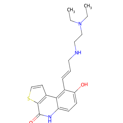 CCN(CC)CCNC/C=C/c1c(O)ccc2[nH]c(=O)c3sccc3c12